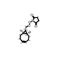 O=C1CCC(=O)N1OOC[C@@H]1[C@@H]2CCC#CCC[C@@H]21